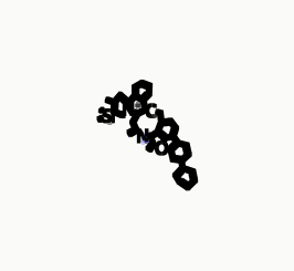 C=C/C1=N/C(=C)CC2C(CCc3ccc4c(oc5cc(-c6ccccc6)ccc54)c31)c1ccccc1-c1cc(C)c([Si](C)(C)C)c[n+]12